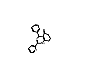 O=C1CCCC2=C1C(c1ccccc1)N=C(c1ccccn1)N2